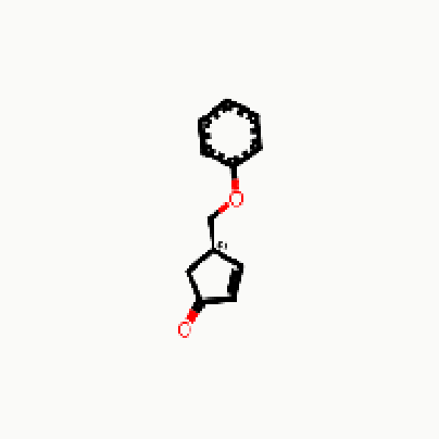 O=C1C=C[C@H](COc2ccccc2)C1